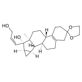 C[C@]12CC[C@@H]3C4=C(CC[C@H]3[C@@H]1[C@H]1C[C@H]1[C@@]2(O)/C=C\CO)CC1(CC4)OCCO1